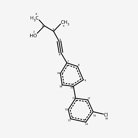 CC(O)C(C)C#Cc1ccc(-c2cccc(Cl)c2)cc1